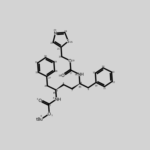 CC(C)(C)OC(=O)N[C@H](CC[C@H](Cc1ccccc1)NC(=O)OCc1cncs1)Cc1ccccc1